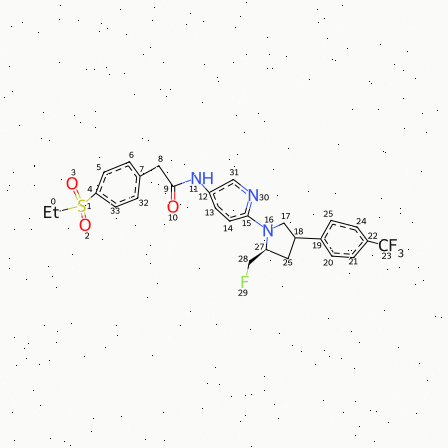 CCS(=O)(=O)c1ccc(CC(=O)Nc2ccc(N3CC(c4ccc(C(F)(F)F)cc4)C[C@H]3CF)nc2)cc1